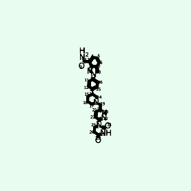 NC(=O)c1cccc2cn(-c3ccc([C@@H]4CCCN(Cc5ccc(N6CCC(=O)NC6=O)nn5)C4)cc3)nc12